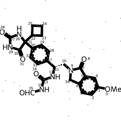 COc1ccc2c(c1)C(=O)N(C[C@H](NC(=O)NC=O)c1ccc(C3(C4CCC4)NC(=O)NC3=O)cc1)C2